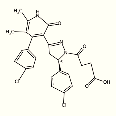 Cc1[nH]c(=O)c(C2=NN(C(=O)CCC(=O)O)[C@@H](c3ccc(Cl)cc3)C2)c(-c2ccc(Cl)cc2)c1C